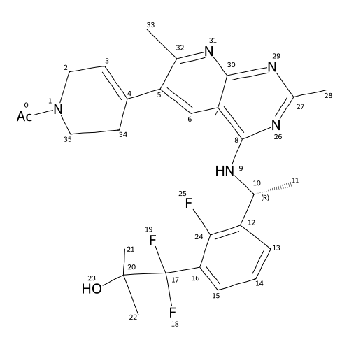 CC(=O)N1CC=C(c2cc3c(N[C@H](C)c4cccc(C(F)(F)C(C)(C)O)c4F)nc(C)nc3nc2C)CC1